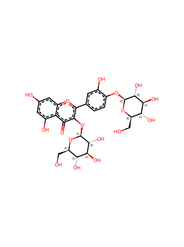 O=c1c(O[C@@H]2O[C@H](CO)[C@@H](O)[C@H](O)[C@H]2O)c(-c2ccc(O[C@@H]3O[C@H](CO)[C@@H](O)[C@H](O)[C@H]3O)c(O)c2)oc2cc(O)cc(O)c12